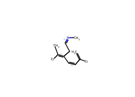 C=C(/C=C\C(C/C=N\C)=C(\C)CC)CC